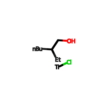 CCCCC(CC)CO.[Cl][Ti]